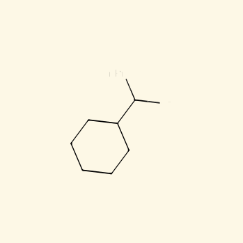 [CH2]CC(CCC)C1CCCCC1